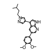 COc1ccc(-c2cnc3[nH]cc(-c4cnn(CCC(C)C)c4)c3c2)cc1OC